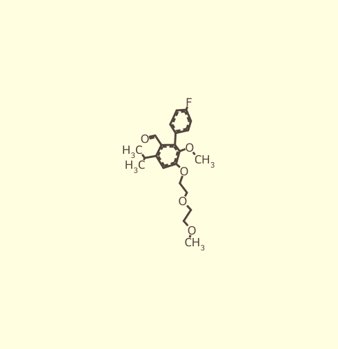 COCCOCCOc1cc(C(C)C)c(C=O)c(-c2ccc(F)cc2)c1OC